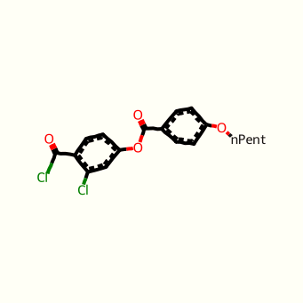 CCCCCOc1ccc(C(=O)Oc2ccc(C(=O)Cl)c(Cl)c2)cc1